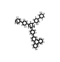 c1ccc(-c2ccc(-c3cc(-c4ccc(-c5cccnc5)cc4)nc(-c4ccc(-c5ccc6c7ccccc7c7ccccc7c6c5)cc4)n3)cc2)cc1